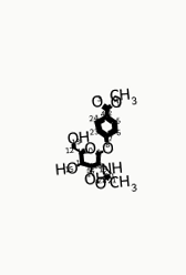 COC(=O)c1ccc(O[C@@H]2O[C@H](CO)[C@H](O)[C@H](O)[C@H]2NC(C)=O)cc1